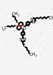 CCCCCCCCc1cnc(-c2ccc(C(OC(c3ccc(-c4ncc(CCCCCCCC)cn4)cc3)[C@H]3CC[C@H](CCCCCC)CC3)[C@H]3CC[C@H](CCCCCC)CC3)cc2)nc1